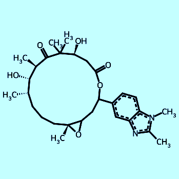 Cc1nc2cc(C3CC4O[C@]4(C)CCC[C@H](C)[C@H](O)[C@@H](C)C(=O)C(C)(C)[C@@H](O)CC(=O)O3)ccc2n1C